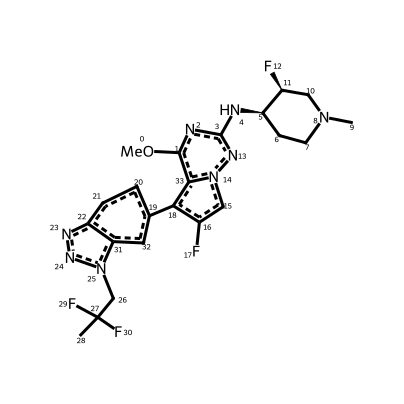 COc1nc(N[C@@H]2CCN(C)C[C@@H]2F)nn2cc(F)c(-c3ccc4nnn(CC(C)(F)F)c4c3)c12